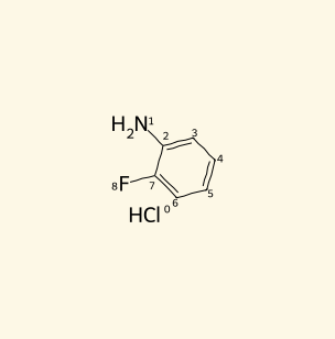 Cl.Nc1ccccc1F